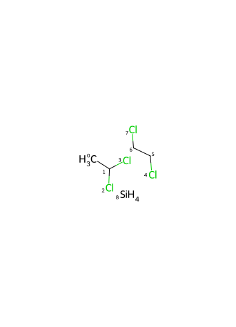 CC(Cl)Cl.ClCCCl.[SiH4]